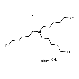 CC(C)CCCC[CH2][Al]([CH2]CCCCC(C)C)[CH2]CCCCC(C)C.CCCCC